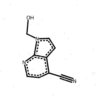 N#Cc1ccnc2c1ccn2CO